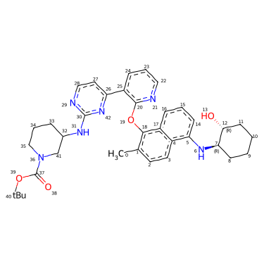 Cc1ccc2c(N[C@@H]3CCCC[C@H]3O)cccc2c1Oc1ncccc1-c1ccnc(NC2CCCN(C(=O)OC(C)(C)C)C2)n1